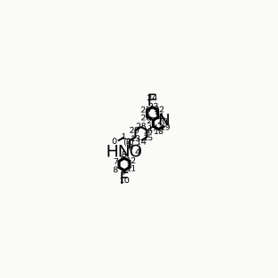 CC[C@@H](C(=O)Nc1ccc(F)cc1)[C@H]1CC[C@H](c2ccnc3cc(F)ccc32)CC1